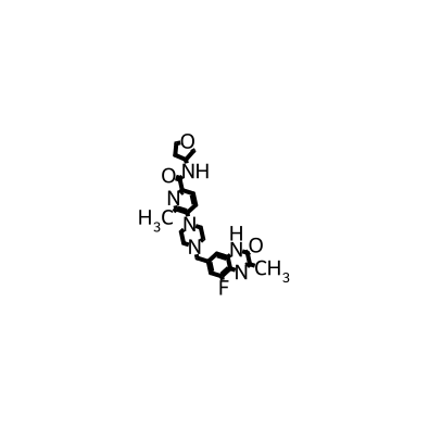 Cc1nc(C(=O)NC2CCOC2)ccc1N1CCN(Cc2cc(F)c3nc(C)c(=O)[nH]c3c2)CC1